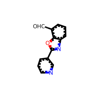 O=Cc1cccc2nc(-c3cccnc3)oc12